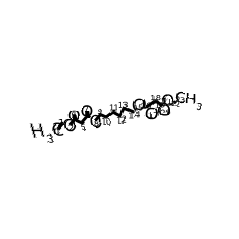 CCOC(=O)CC(=O)OCCCCCCOC(=O)CC(=O)OCC